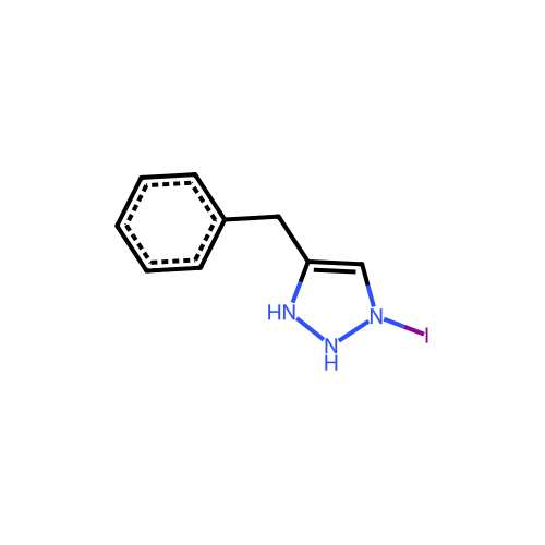 IN1C=C(Cc2ccccc2)NN1